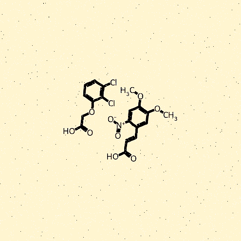 COc1cc(C=CC(=O)O)c([N+](=O)[O-])cc1OC.O=C(O)COc1cccc(Cl)c1Cl